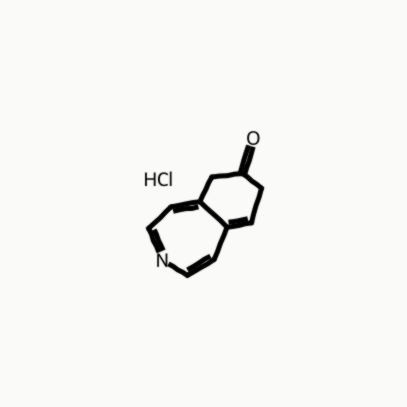 Cl.O=C1CC=C2C=CN=CC=C2C1